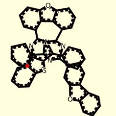 c1ccc(-c2nc(-c3ccc4c(c3)oc3ccccc34)nc(-c3cccc4oc5cccc(-c6nc(-c7ccccc7)c7sc8ccccc8c7n6)c5c34)n2)cc1